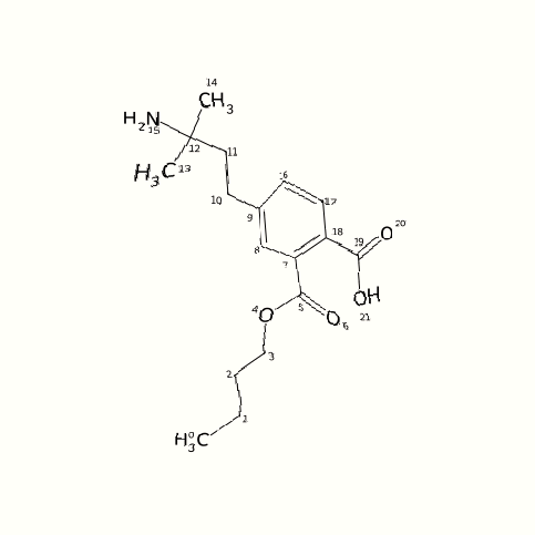 CCCCOC(=O)c1cc(CCC(C)(C)N)ccc1C(=O)O